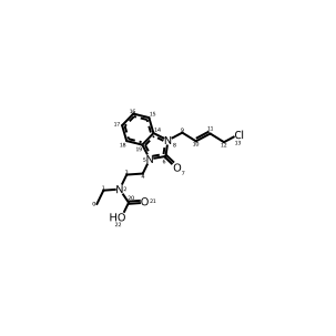 CCN(CCn1c(=O)n(CC=CCCl)c2ccccc21)C(=O)O